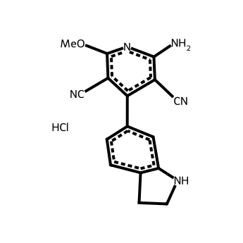 COc1nc(N)c(C#N)c(-c2ccc3c(c2)NCC3)c1C#N.Cl